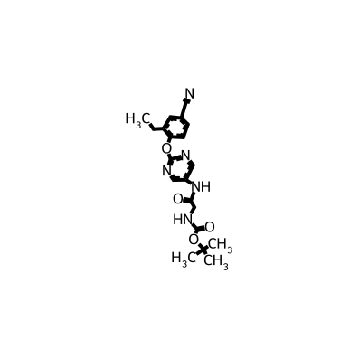 CCc1cc(C#N)ccc1Oc1ncc(NC(=O)CNC(=O)OC(C)(C)C)cn1